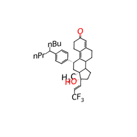 CCCCC(CCC)c1ccc([C@H]2C[C@@]3(C)C(CC[C@@]3(O)/C=C/C(F)(F)F)C3CCC4=CC(=O)CCC4=C32)cc1